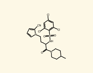 CC1CCN(C(=O)C(CCn2cccc2C#N)NS(=O)(=O)c2c(Cl)cc(Cl)cc2Cl)CC1